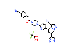 Cn1cc(-c2cc(-c3ccc(N4CCN(C(=O)Cc5ccc(C#N)cc5)CC4)nc3)c3c(C#N)cnn3c2)cn1.O=C(O)C(F)(F)F